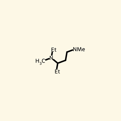 CCC(CCNC)N(C)CC